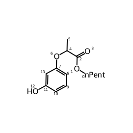 CCCCCOC(=O)C(C)Oc1cccc(O)c1